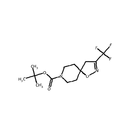 CC(C)(C)OC(=O)N1CCC2(CC1)CC(C(F)(F)F)=NO2